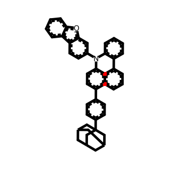 c1ccc(-c2ccccc2N(c2ccc(-c3ccc(C45CC6CC(CC(C6)C4)C5)cc3)cc2)c2ccc3c(c2)oc2ccccc23)cc1